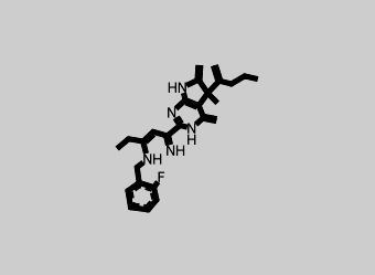 C=C1NC(C(=N)/C=C(/CC)NCc2ccccc2F)=NC2=C1C(C)(C(=C)CCC)C(=C)N2